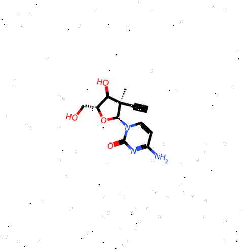 C#C[C@]1(C)C(O)[C@@H](CO)O[C@@H]1n1ccc(N)nc1=O